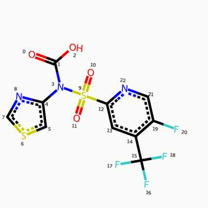 O=C(O)N(c1cscn1)S(=O)(=O)c1cc(C(F)(F)F)c(F)cn1